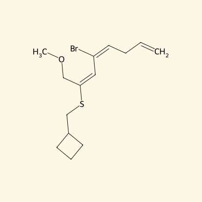 C=CC/C=C(Br)\C=C(/COC)SCC1CCC1